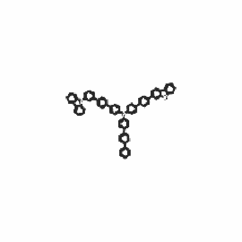 c1ccc(-c2ccc(-c3ccc(N(c4ccc(-c5ccc(-c6cccc(-n7c8ccccc8c8ccccc87)c6)cc5)cc4)c4ccc(-c5ccc(-c6ccc7c(c6)oc6ccccc67)cc5)cc4)cc3)cc2)cc1